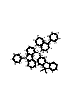 CC1(C)c2ccccc2-c2cc(N(c3ccc(-c4ccccc4)c4ccccc34)c3cccc4c3c3ccccc3n4-c3ccccc3)ccc21